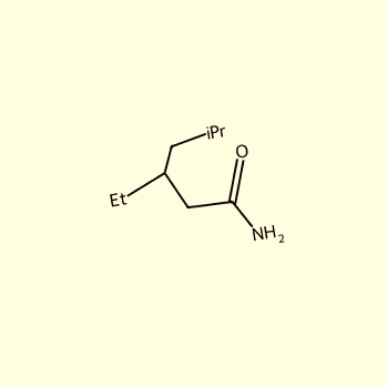 CCC(CC(N)=O)CC(C)C